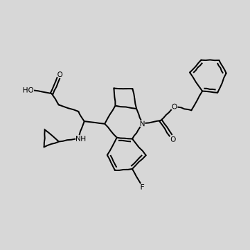 O=C(O)CCC(NC1CC1)C1c2ccc(F)cc2N(C(=O)OCc2ccccc2)C2CCC12